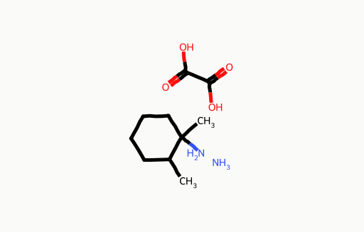 CC1CCCCC1(C)N.N.O=C(O)C(=O)O